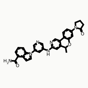 CC1Oc2cc(N3CCCC3=O)ccc2-c2cnc(Nc3cncc(-n4ccc5c(C(N)=O)cccc54)c3)cc21